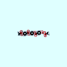 C=C(C)C(=O)OCOc1ccc(C(=O)Oc2ccc(OC(=O)c3ccc(OC(=O)C(=C)C)cc3)cc2)cc1